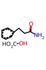 NC(=O)CCc1ccccc1.O=C(O)O